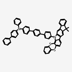 CC1(C)c2ccccc2-c2cc3c(cc21)c1ccc2c(c1n3-c1ccc(-c3ccc(-c4ccc(N(c5ccccc5)c5ccc(-c6ccccc6)cc5)cc4)cc3)cc1)Sc1ccccc1S2